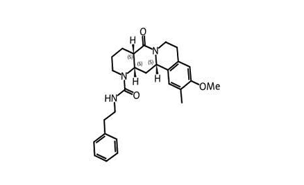 COc1cc2c(cc1C)[C@@H]1C[C@H]3[C@H](CCCN3C(=O)NCCc3ccccc3)C(=O)N1CC2